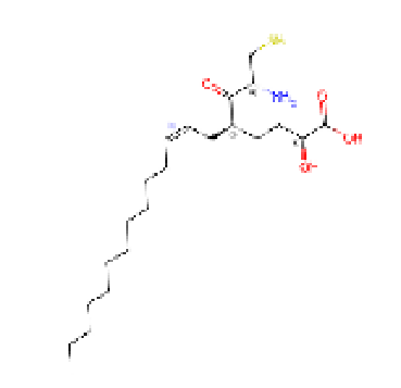 CCCCCCCCCCC/C=C\C[C@H](CC[C@H](O)C(=O)O)C(=O)[C@@H](N)CS